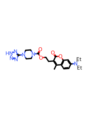 CCN(CC)c1ccc2c(C)c(CCOC(=O)N3CCN(c4nn[nH]n4)CC3)c(=O)oc2c1